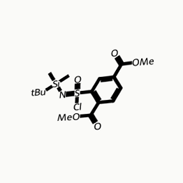 COC(=O)c1ccc(C(=O)OC)c(S(=O)(Cl)=N[Si](C)(C)C(C)(C)C)c1